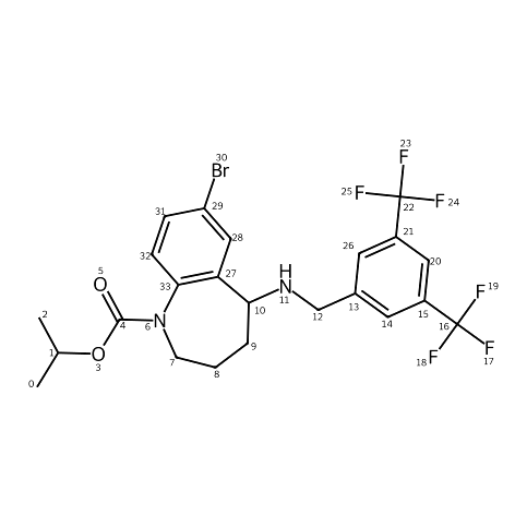 CC(C)OC(=O)N1CCCC(NCc2cc(C(F)(F)F)cc(C(F)(F)F)c2)c2cc(Br)ccc21